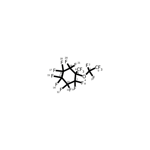 FC(F)(F)C(F)(F)OC1(C(F)(F)F)C(F)(F)C(F)(F)C(F)(F)C(F)(F)C1(F)F